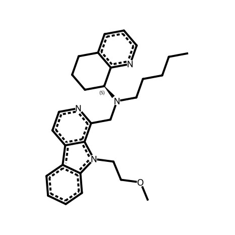 CCCCCN(Cc1nccc2c3ccccc3n(CCOC)c12)[C@H]1CCCc2cccnc21